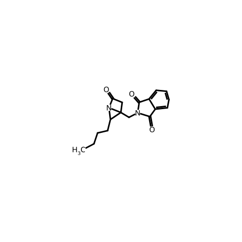 CCCCC1N2C(=O)CC12CN1C(=O)c2ccccc2C1=O